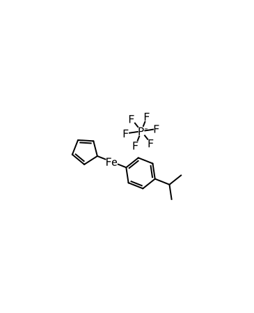 CC(C)c1cc[c]([Fe][CH]2C=CC=C2)cc1.F[P-](F)(F)(F)(F)F